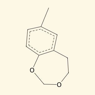 Cc1ccc2c(c1)CCOCO2